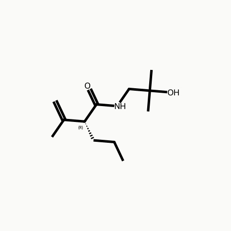 C=C(C)[C@@H](CCC)C(=O)NCC(C)(C)O